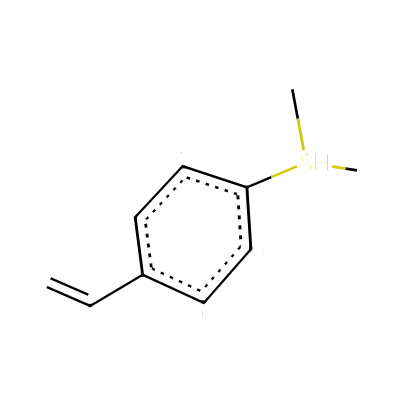 C=Cc1ccc([SH](C)C)cc1